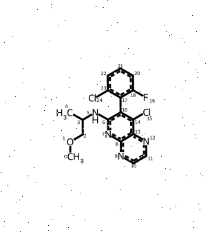 COCC(C)Nc1nc2nccnc2c(Cl)c1-c1c(F)cccc1Cl